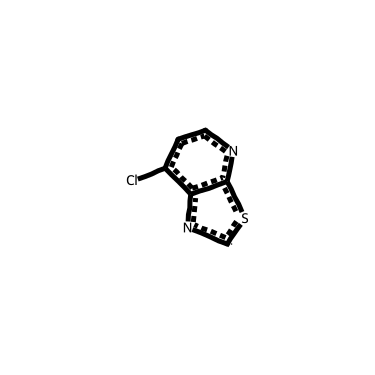 Clc1ccnc2s[c]nc12